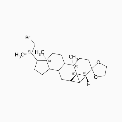 C[C@H](CBr)C1CCC2C3CC4C5[C@H]6C7(CC[C@](C)(C3CC[C@@]21C)[C@@]456)OCCO7